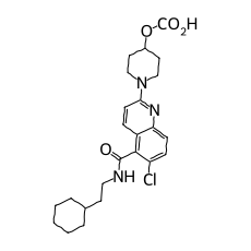 O=C(O)OC1CCN(c2ccc3c(C(=O)NCCC4CCCCC4)c(Cl)ccc3n2)CC1